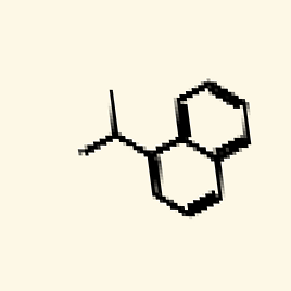 [CH2]C(I)c1cccc2ccccc12